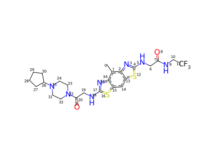 Cc1c2nc(NCC(=O)NCC(F)(F)F)sc2cc2sc(NCC(=O)N3CCN(C4CCCC4)CC3)nc12